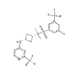 CC(C)([C@H]1C[C@@H](Nc2ccnc(C(F)(F)F)n2)C1)S(=O)(=O)c1cc(F)cc(C(F)(F)F)c1